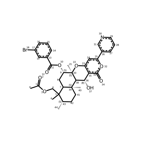 CC(=O)OCC1(C)C2C[C@H](OC(=O)c3cccc(Br)c3)[C@@]3(C)Oc4cc(-c5cccnc5)oc(=O)c4[C@H](O)C3[C@@]2(C)CC[C@@H]1C